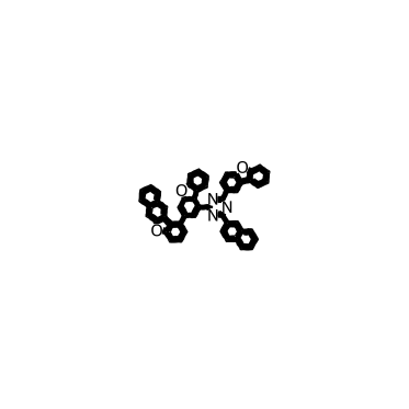 C1=C(c2cccc3oc4cc5ccccc5cc4c23)C=C(c2nc(-c3ccc4ccccc4c3)nc(-c3ccc4oc5ccccc5c4c3)n2)C2c3ccccc3OC12